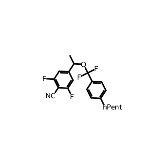 CCCCCc1ccc(C(F)(F)OC(C)c2cc(F)c(C#N)c(F)c2)cc1